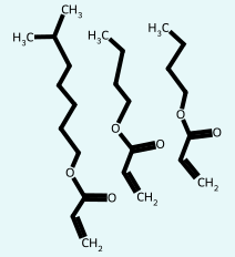 C=CC(=O)OCCCC.C=CC(=O)OCCCC.C=CC(=O)OCCCCCC(C)C